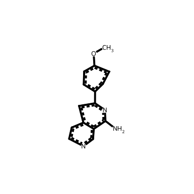 COc1ccc(-c2cc3ccncc3c(N)n2)cc1